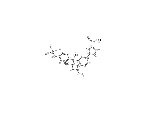 CN1CC(C)(C(O)(c2ccc(OC(F)(F)F)cc2)c2cccc(-c3nc(C(=O)O)no3)c2)C1